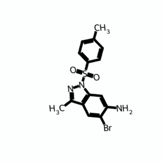 Cc1ccc(S(=O)(=O)n2nc(C)c3cc(Br)c(N)cc32)cc1